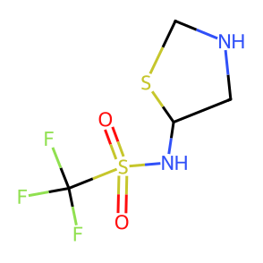 O=S(=O)(NC1CNCS1)C(F)(F)F